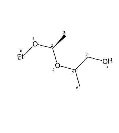 CCO[C@@H](C)OC(C)CO